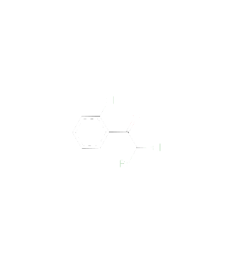 O=C(c1ccccc1Cl)C(Cl)Br